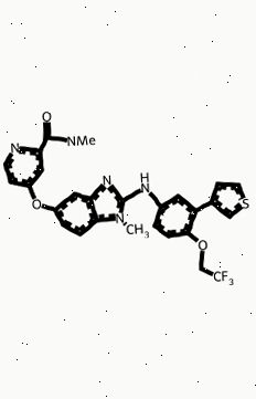 CNC(=O)c1cc(Oc2ccc3c(c2)nc(Nc2ccc(OCC(F)(F)F)c(-c4ccsc4)c2)n3C)ccn1